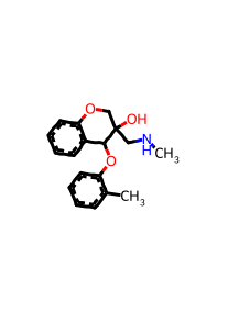 CNCC1(O)COc2ccccc2C1Oc1ccccc1C